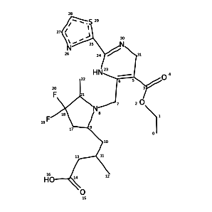 CCOC(=O)C1=C(CN2C(CC(C)CC(=O)O)CC(F)(F)C2C)NC(c2nccs2)=NC1